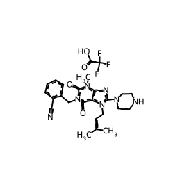 CC(C)=CCn1c(N2CCNCC2)nc2c1c(=O)n(Cc1ccccc1C#N)c(=O)n2C.O=C(O)C(F)(F)F